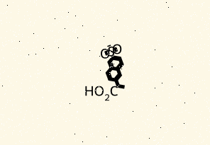 CC(C(=O)O)c1ccc2cc(S(C)(=O)=O)ccc2c1